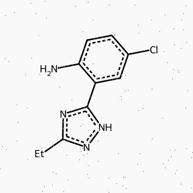 CCc1n[nH]c(-c2cc(Cl)ccc2N)n1